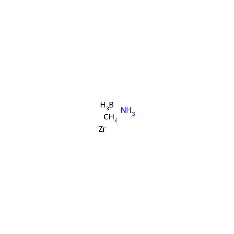 B.C.N.[Zr]